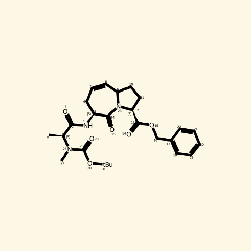 C[C@@H](C(=O)N[C@H]1CC=CC2CC[C@@H](C(=O)OCc3ccccc3)N2C1=O)N(C)C(=O)OC(C)(C)C